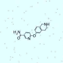 NC(=O)c1ccc(Oc2ccc3c(c2)CCNC3)nc1